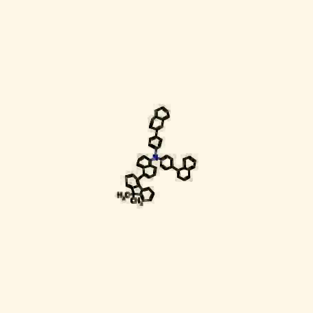 CC1(C)c2ccccc2-c2c(-c3cccc4c(N(c5ccc(-c6ccc7ccccc7c6)cc5)c5ccc(-c6cccc7ccccc67)cc5)cccc34)cccc21